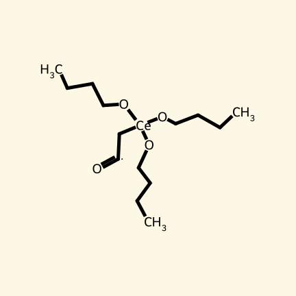 CCCC[O][Ce]([CH2][C]=O)([O]CCCC)[O]CCCC